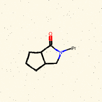 CC(C)N1CC2CCCC2C1=O